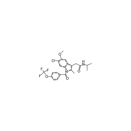 COc1cc2c(CC(=O)NC(C)C)c(C)n(C(=O)c3ccc(OC(F)(F)F)cc3)c2cc1Cl